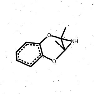 CC12NC1(C)Oc1ccccc1O2